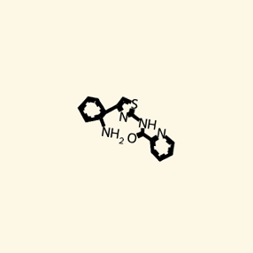 Nc1ccccc1-c1csc(NC(=O)c2ccccn2)n1